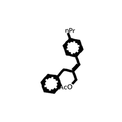 CCCc1ccc(C=C(COC(C)=O)Cc2ccccc2)cc1